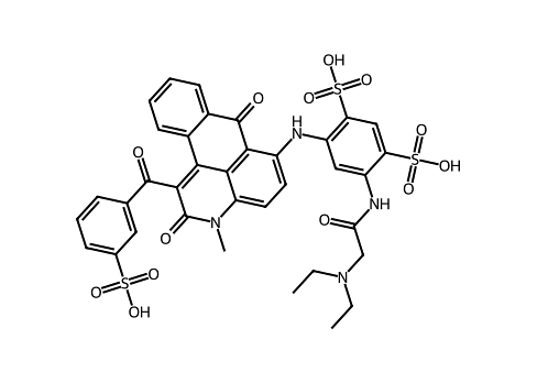 CCN(CC)CC(=O)Nc1cc(Nc2ccc3c4c2C(=O)c2ccccc2-c4c(C(=O)c2cccc(S(=O)(=O)O)c2)c(=O)n3C)c(S(=O)(=O)O)cc1S(=O)(=O)O